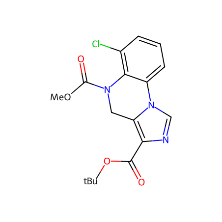 COC(=O)N1Cc2c(C(=O)OC(C)(C)C)ncn2-c2cccc(Cl)c21